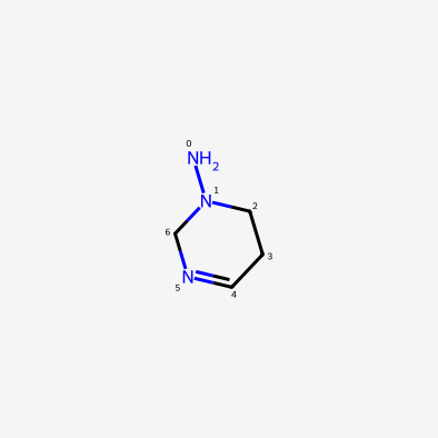 NN1CCC=NC1